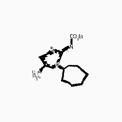 CCOC(=O)/N=c1\scc(C)n1C1CCCCC1